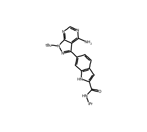 CC(C)NC(=O)c1cc2ccc(-c3nn(C(C)(C)C)c4ncnc(N)c34)cc2[nH]1